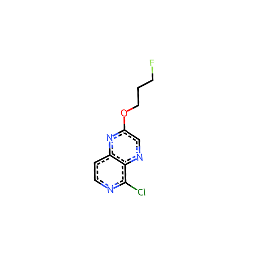 FCCCOc1cnc2c(Cl)nccc2n1